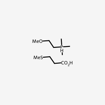 COCC[PH](C)(C)C.CSCCC(=O)O